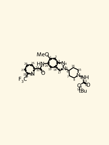 COc1cc2nn(C3CCN(NC(=O)OC(C)(C)C)CC3)cc2cc1NC(=O)c1cccc(C(F)(F)F)n1